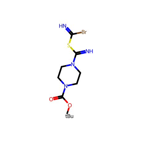 CC(C)(C)OC(=O)N1CCN(C(=N)SC(=N)Br)CC1